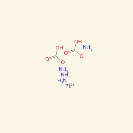 N.N.N.N.O=C([O-])O.O=C([O-])O.[Pt+2]